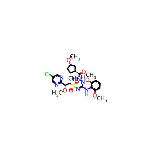 COc1cccc(OC)c1N/C(=N/S(=O)(=O)[C@@H](C)[C@H](OC)c1ncc(Cl)cn1)NNC(=O)[C@H]1CC[C@@H](OC)C1